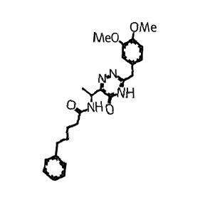 COc1ccc(Cc2nnc(C(C)NC(=O)CCCCc3ccccc3)c(=O)[nH]2)cc1OC